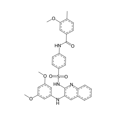 COc1cc(Nc2cc3ccccc3nc2NS(=O)(=O)c2ccc(NC(=O)c3ccc(C)c(OC)c3)cc2)cc(OC)c1